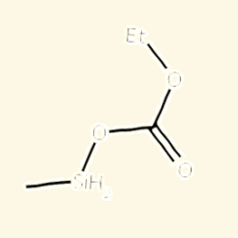 CCOC(=O)O[SiH2]C